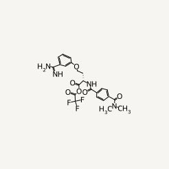 CN(C)C(=O)c1ccc(C(=O)N[C@@H](CCOc2cccc(C(=N)N)c2)C(=O)OC(=O)C(F)(F)F)cc1